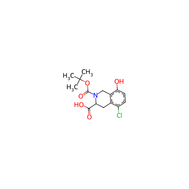 CC(C)(C)OC(=O)N1Cc2c(O)ccc(Cl)c2CC1C(=O)O